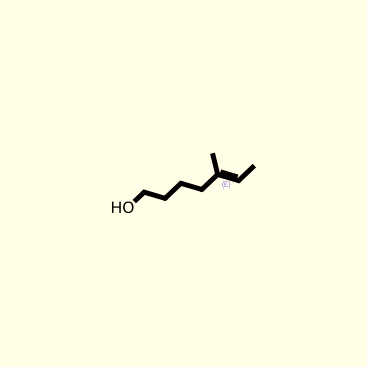 C/C=C(\C)CCCCO